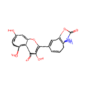 O=c1[nH]c2ccc(-c3oc4cc(O)cc(O)c4c(=O)c3O)cc2o1